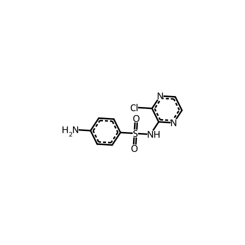 Nc1ccc(S(=O)(=O)Nc2nccnc2Cl)cc1